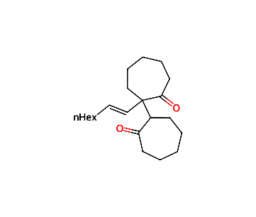 CCCCCCC=CC1(C2CCCCCC2=O)CCCCCC1=O